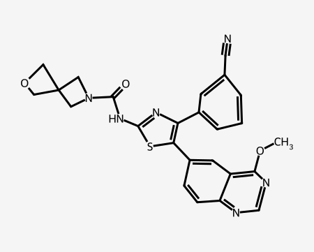 COc1ncnc2ccc(-c3sc(NC(=O)N4CC5(COC5)C4)nc3-c3cccc(C#N)c3)cc12